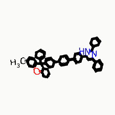 C[C@@H]1C=CC2=C(C1)OC1=CC=CCC1C2(C1=CCC(C2C=CC(C3=CC=C(C4CC(c5ccccc5)N=C(C5=CC=CCC5)N4)CC3)=CC2)C=C1)C1=CC=CCC1